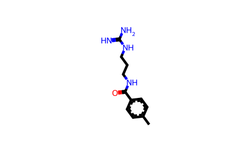 Cc1ccc(C(=O)NCCCNC(=N)N)cc1